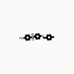 Cc1ccc(COc2ccc(S(=O)(=O)c3ccc(O)cc3)cc2)cc1